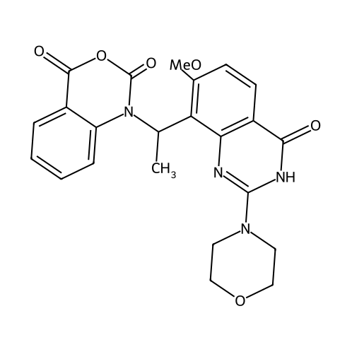 COc1ccc2c(=O)[nH]c(N3CCOCC3)nc2c1C(C)n1c(=O)oc(=O)c2ccccc21